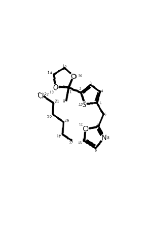 CC1(c2ccc(Cc3ncco3)s2)OCCO1.CCCCCCl